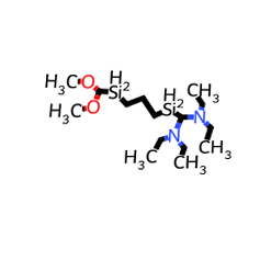 CCN(CC)C([SiH2]CCC[SiH2]C(OC)OC)N(CC)CC